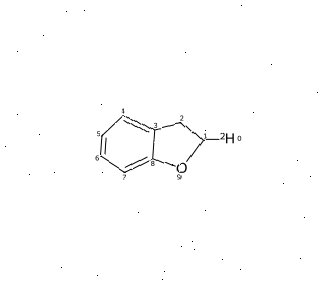 [2H]C1Cc2ccccc2O1